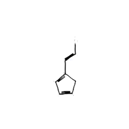 CC/C=C/C1=CC=CC1